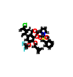 C=C/C(C[C@H](OC(=O)[C@@H]1CCCN1S(=O)(=O)Cc1ccccc1)c1ccc(OC(F)F)c(OCC2CC2)c1)=C(\C)Cl